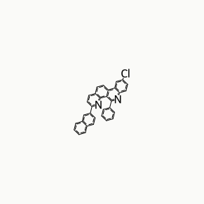 Clc1ccc2nc(-c3ccccc3)c3c(ccc4ccc(-c5ccc6ccccc6c5)nc43)c2c1